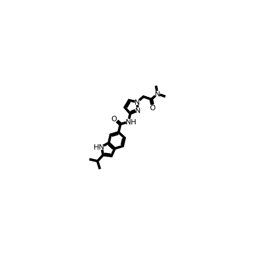 CC(C)c1cc2ccc(C(=O)Nc3ccn(CC(=O)N(C)C)n3)cc2[nH]1